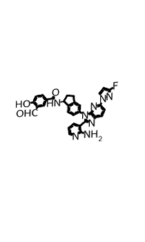 Nc1ncccc1-c1nc2ccc(-n3ccc(F)n3)nc2n1-c1ccc2c(c1)CC[C@@H]2NC(=O)c1ccc(O)c(C=O)c1